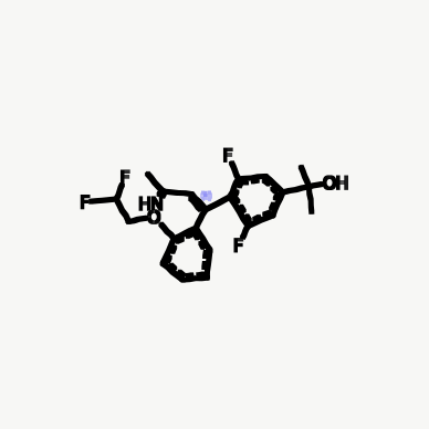 CC(=N)/C=C(\c1ccccc1OCC(F)F)c1c(F)cc(C(C)(C)O)cc1F